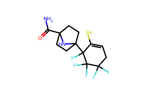 NC(=O)C12CCC(C3(F)C(S)=CCC(F)(F)C3(F)F)(CC1)N2